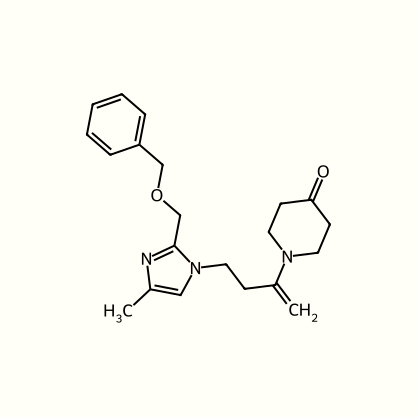 C=C(CCn1cc(C)nc1COCc1ccccc1)N1CCC(=O)CC1